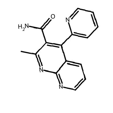 Cc1nc2ncccc2c(-c2ccccn2)c1C(N)=O